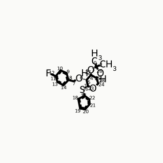 CC1(C)O[C@@H]2[C@@H](OCc3ccc(F)cc3)[C@H](Sc3ccccc3)OC[C@@H]2O1